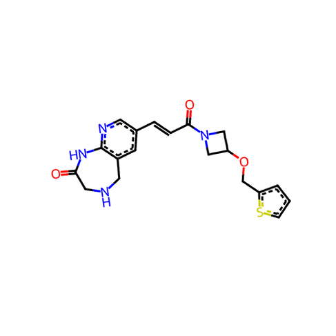 O=C1CNCc2cc(C=CC(=O)N3CC(OCc4cccs4)C3)cnc2N1